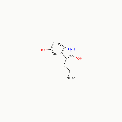 CC(=O)NCCc1c(O)[nH]c2ccc(O)cc12